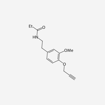 C#CCOc1ccc(CCNC(=O)CC)cc1OC